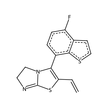 C=CC1=C(c2ccc(F)c3ccsc23)N2CCN=C2S1